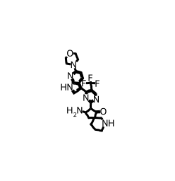 NC1CC2(CCCNC2)C(=O)C1c1ncc(C(F)(F)F)c(-c2c[nH]c3nc(N4CCOCC4)ccc23)n1